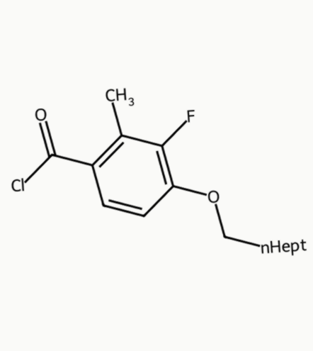 CCCCCCCCOc1ccc(C(=O)Cl)c(C)c1F